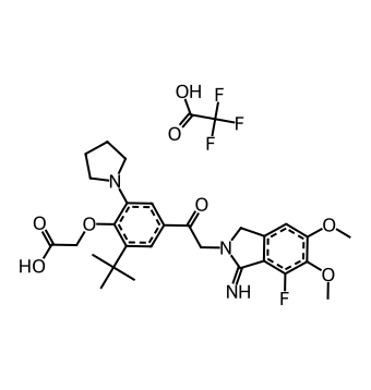 COc1cc2c(c(F)c1OC)C(=N)N(CC(=O)c1cc(N3CCCC3)c(OCC(=O)O)c(C(C)(C)C)c1)C2.O=C(O)C(F)(F)F